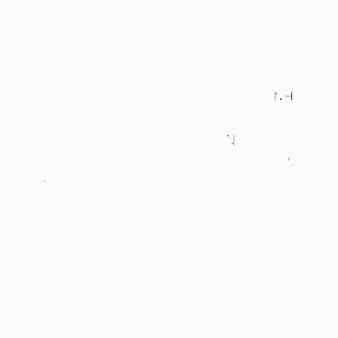 NC(=O)[N]c1cccc(Cc2ccccc2)c1